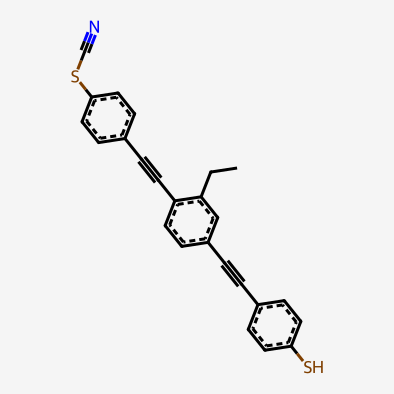 CCc1cc(C#Cc2ccc(S)cc2)ccc1C#Cc1ccc(SC#N)cc1